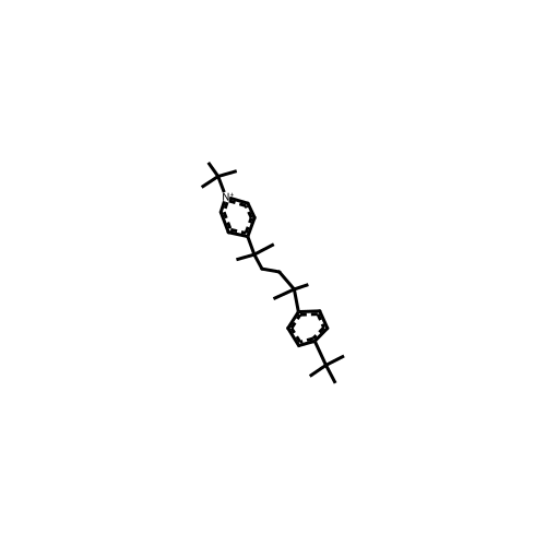 CC(C)(C)c1ccc(C(C)(C)CCC(C)(C)c2cc[n+](C(C)(C)C)cc2)cc1